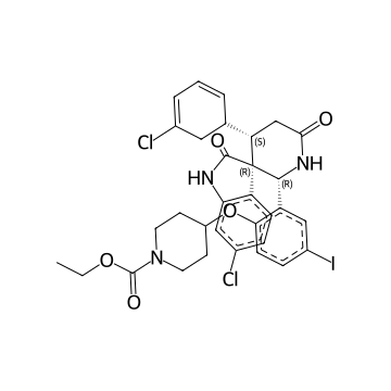 CCOC(=O)N1CCC(Oc2ccc(I)cc2[C@H]2NC(=O)C[C@@H](C3C=CC=C(Cl)C3)[C@]23C(=O)Nc2cc(Cl)ccc23)CC1